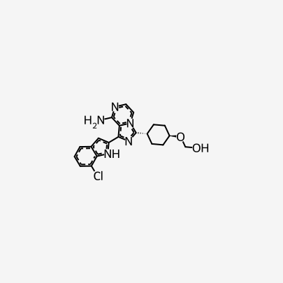 Nc1nccn2c1c(-c1cc3cccc(Cl)c3[nH]1)nc2[C@H]1CC[C@H](OCO)CC1